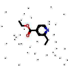 C[CH]c1cc(C(=O)OCC)ccn1